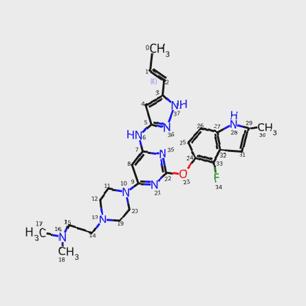 C/C=C/c1cc(Nc2cc(N3CCN(CCN(C)C)CC3)nc(Oc3ccc4[nH]c(C)cc4c3F)n2)n[nH]1